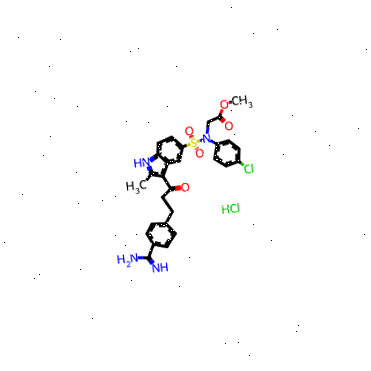 COC(=O)CN(c1ccc(Cl)cc1)S(=O)(=O)c1ccc2[nH]c(C)c(C(=O)CCc3ccc(C(=N)N)cc3)c2c1.Cl